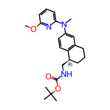 COc1cccc(N(C)c2ccc3c(c2)CCC[C@H]3CNC(=O)OC(C)(C)C)n1